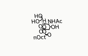 CCCCCCCCC(=O)O[C@@]12C[C@H](O)[C@@H](NC(C)=O)[C@@H](O1)[C@@H](C(O)CO)OC2=O